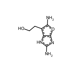 Nc1nc2oc(N)c(CCO)c2[nH]1